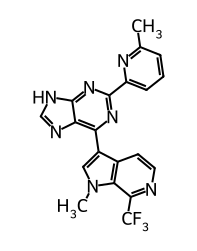 Cc1cccc(-c2nc(-c3cn(C)c4c(C(F)(F)F)nccc34)c3nc[nH]c3n2)n1